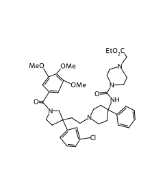 CCOC(=O)CN1CCN(C(=O)NC2(c3ccccc3)CCN(CCC3(c4cccc(Cl)c4)CCN(C(=O)c4cc(OC)c(OC)c(OC)c4)C3)CC2)CC1